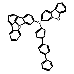 c1ccc(-c2ccc(-c3ccc(N(c4ccc5c(c4)oc4ccccc45)c4ccc5c6cccc7c8ccccc8n(c5c4)c76)cc3)cc2)cc1